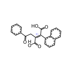 O=C(O)/C(CC(=O)c1ccccc1)=C(/C(=O)O)c1cccc2ccccc12